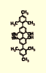 Cc1cc(C)c(-c2cc(O)c(-c3c(O)cc(-c4c(C)cc(C)cc4C)cc3C(C)(C)C)c(C(C)(C)C)c2)c(C)c1